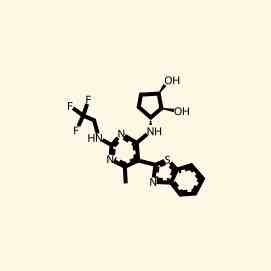 Cc1nc(NCC(F)(F)F)nc(N[C@@H]2CC[C@@H](O)[C@H]2O)c1-c1nc2ccccc2s1